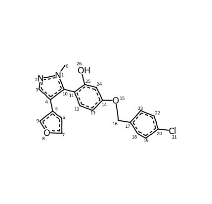 Cn1ncc(-c2ccoc2)c1-c1ccc(OCc2ccc(Cl)cc2)cc1O